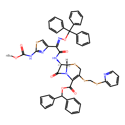 CCCCOC(=O)Nc1nc(/C(=N/OC(c2ccccc2)(c2ccccc2)c2ccccc2)C(=O)N[C@@H]2C(=O)N3C(C(=O)OC(c4ccccc4)c4ccccc4)=C(SCSc4ccccn4)CS[C@@H]23)cs1